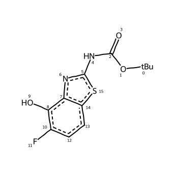 CC(C)(C)OC(=O)Nc1nc2c(O)c(F)ccc2s1